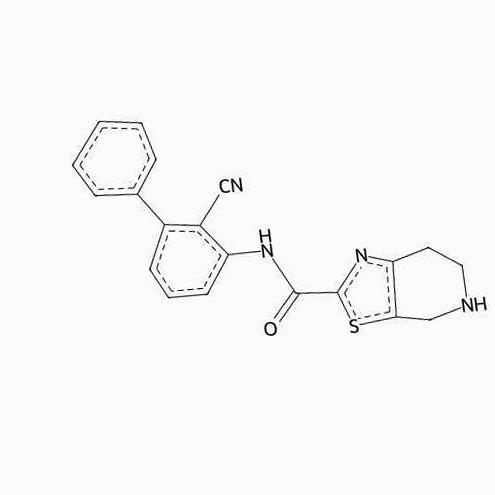 N#Cc1c(NC(=O)c2nc3c(s2)CNCC3)cccc1-c1ccccc1